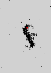 CCN(C(C)Cc1ccc(-n2ccc(NC(=O)N3CCN(C(=O)C(C)(C)N)CC3)nc2=O)cc1)C12CC(N)(C1)C2.Cl